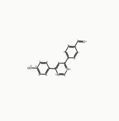 O=Cc1ccc(-c2cc(-c3ccc(O)cc3)ncn2)cc1